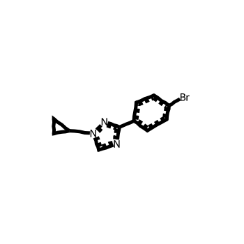 Brc1ccc(-c2ncn(C3CC3)n2)cc1